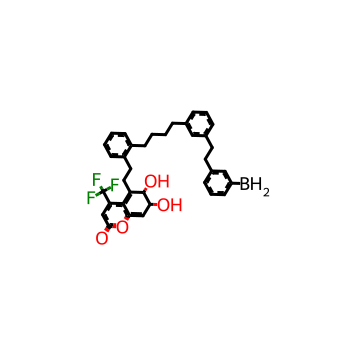 Bc1cccc(CCc2cccc(CCCCc3ccccc3CCC3=c4c(C(F)(F)F)cc(=O)oc4=CC(O)C3O)c2)c1